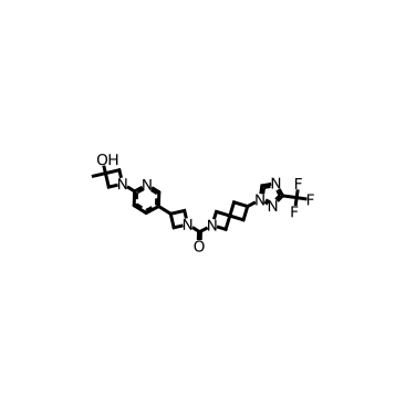 CC1(O)CN(c2ccc(C3CN(C(=O)N4CC5(CC(n6cnc(C(F)(F)F)n6)C5)C4)C3)cn2)C1